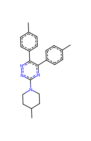 Cc1ccc(-c2nnc(N3CCC(C)CC3)nc2-c2ccc(C)cc2)cc1